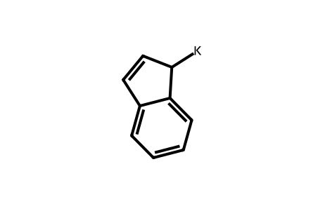 [K][CH]1C=Cc2ccccc21